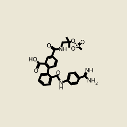 CC(C)(CNC(=O)c1ccc(-c2ccccc2C(=O)Nc2ccc(C(=N)N)cc2)c(C(=O)O)c1)OS(C)(=O)=O